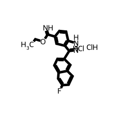 CCOC(=N)c1ccc2[nH]nc(-c3ccc4cc(F)ccc4c3)c2c1.Cl.Cl